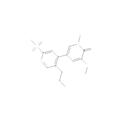 CCCc1cnc(S(C)(=O)=O)cc1-c1cc(OC)c(=O)n(C)c1